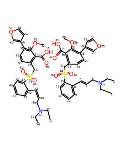 CCN(CC)C/C=C/c1ccccc1S(=O)(=O)Cc1ccc(-c2ccoc2)c(OC)c1C(=O)O.CCN(CC)C/C=C\c1ccccc1S(=O)(=O)Cc1ccc(-c2ccoc2)c(OC)c1C(=O)O